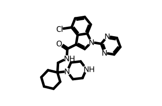 O=C(NCC1(N2CCNCC2)CCCCC1)c1cn(-c2ncccn2)c2cccc(Cl)c12